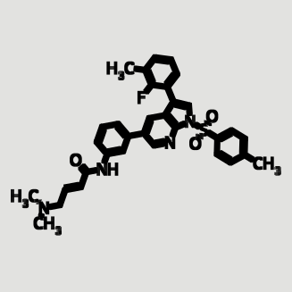 Cc1ccc(S(=O)(=O)n2cc(-c3cccc(C)c3F)c3cc(-c4cccc(NC(=O)/C=C/CN(C)C)c4)cnc32)cc1